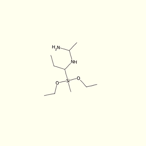 CCO[Si](C)(OCC)C(CC)NC(C)N